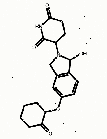 O=C1CCC(N2Cc3cc(OC4CCCCC4=O)ccc3C2O)C(=O)N1